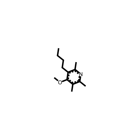 CCCCc1c(C)nc(C)c(C)c1OC